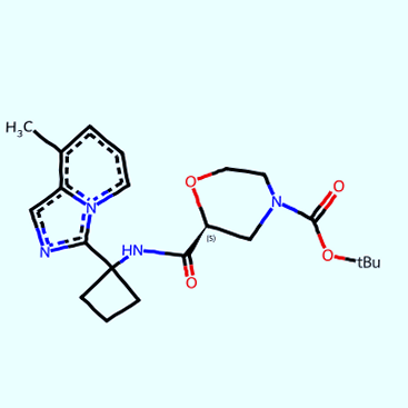 Cc1cccn2c(C3(NC(=O)[C@@H]4CN(C(=O)OC(C)(C)C)CCO4)CCC3)ncc12